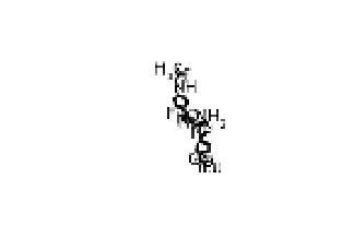 CCC(C)S(=O)(=O)c1ccc(-c2cnc(N)c(-c3nnc(-c4ccc(CNC[C@@H](C)F)cc4F)o3)n2)cc1